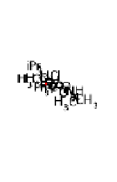 CC(C)CCC[C@@H](C)[C@H]1CC[C@H]2[C@@H]3CC=C4C[C@@H](OC(=O)NCCN(C)C)CC[C@]4(C)[C@H]3CC[C@]12C.Cl